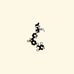 Cc1csc(C2(N)CN(c3ccc(-c4n[nH]c5ccc(O[C@H](C)c6c(Cl)cncc6Cl)cc45)nn3)C2)n1